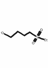 CCS(=O)(=O)CCCC[O]